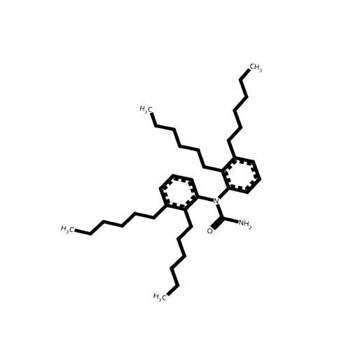 CCCCCCc1cccc(N(C(N)=O)c2cccc(CCCCCC)c2CCCCCC)c1CCCCCC